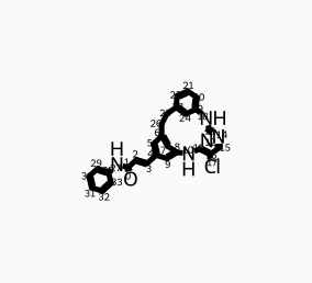 O=C(/C=C/c1cc2cc(c1)Nc1nc(ncc1Cl)Nc1cccc(c1)CC2)Nc1ccccc1